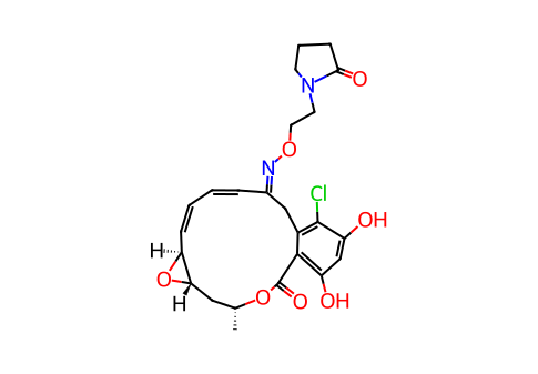 C[C@@H]1C[C@@H]2O[C@H]2\C=C/C=C/C(=N/OCCN2CCCC2=O)Cc2c(Cl)c(O)cc(O)c2C(=O)O1